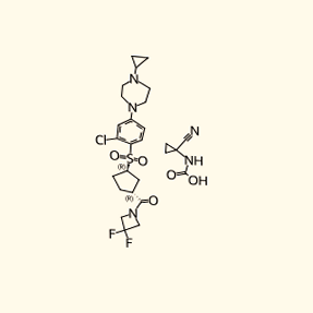 N#CC1(NC(=O)O)CC1.O=C([C@@H]1CC[C@@H](S(=O)(=O)c2ccc(N3CCN(C4CC4)CC3)cc2Cl)C1)N1CC(F)(F)C1